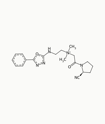 C[N+](C)(CCNc1nnc(-c2ccccc2)o1)CC(=O)N1CCC[C@H]1C#N